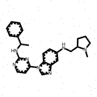 CC(Nc1nccc(-n2cnc3cc(NCC4CCCN4C)ccc32)n1)c1ccccc1